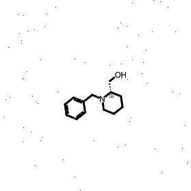 OC[C@@H]1CCCCN1Cc1ccccc1